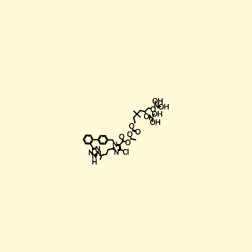 CCCCc1nc(Cl)c(C(=O)OC(C)OC(=O)OCCC(C)(C)CC(CON(O)O)ON(O)O)n1Cc1ccc(-c2ccccc2-c2nn[nH]n2)cc1